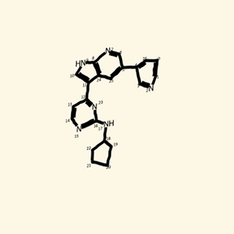 c1cncc(-c2cnc3[nH]cc(-c4ccnc(NC5CCCC5)n4)c3c2)c1